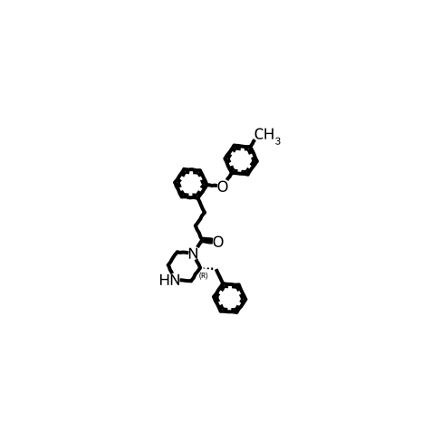 Cc1ccc(Oc2ccccc2CCC(=O)N2CCNC[C@H]2Cc2ccccc2)cc1